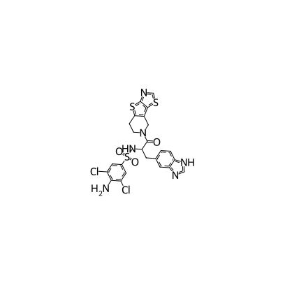 Nc1c(Cl)cc(S(=O)(=O)NC(Cc2ccc3[nH]cnc3c2)C(=O)N2CCc3sc4ncsc4c3C2)cc1Cl